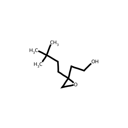 CC(C)(C)CCC1(CCO)CO1